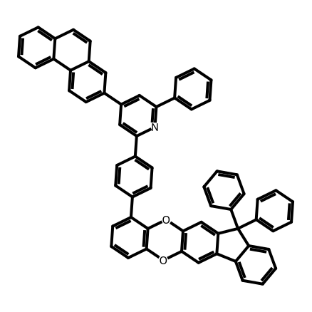 c1ccc(-c2cc(-c3ccc4c(ccc5ccccc54)c3)cc(-c3ccc(-c4cccc5c4Oc4cc6c(cc4O5)-c4ccccc4C6(c4ccccc4)c4ccccc4)cc3)n2)cc1